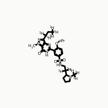 [2H]C([2H])([2H])CC([2H])([2H])c1nn(C)c2c(=O)[nH]c(-c3cc(S(=O)(=O)NCC([2H])([2H])C4CCCN4C([2H])([2H])[2H])ccc3OCCC)nc12